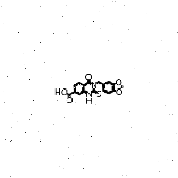 O=C(O)c1ccc2c(=O)n(Cc3ccc4c(c3)OCO4)c(=S)[nH]c2c1